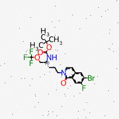 CC(C)(C)OC(=O)N[C@H](CCCn1ccc2cc(Br)c(F)cc2c1=O)COC(F)(F)F